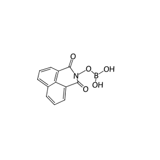 O=C1c2cccc3cccc(c23)C(=O)N1OB(O)O